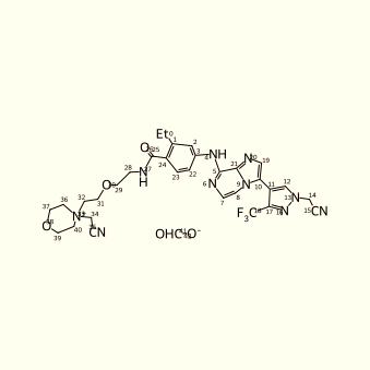 CCc1cc(Nc2nccn3c(-c4cn(CC#N)nc4C(F)(F)F)cnc23)ccc1C(=O)NCCOCC[N+]1(CC#N)CCOCC1.O=C[O-]